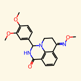 CO/N=C1\CCN2c3c(cccc31)C(=O)NC2c1ccc(OC)c(OC)c1